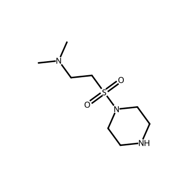 CN(C)CCS(=O)(=O)N1CCNCC1